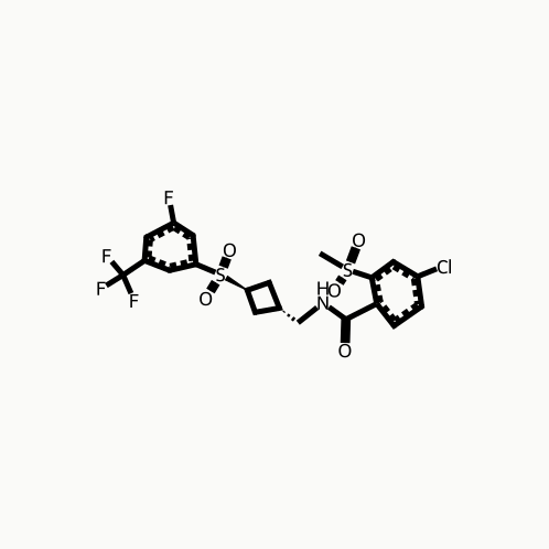 CS(=O)(=O)c1cc(Cl)ccc1C(=O)NC[C@H]1C[C@H](S(=O)(=O)c2cc(F)cc(C(F)(F)F)c2)C1